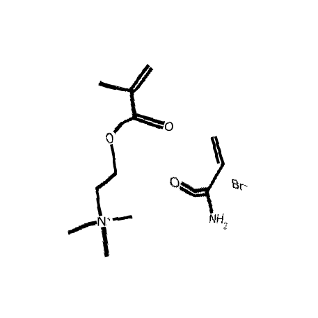 C=C(C)C(=O)OCC[N+](C)(C)C.C=CC(N)=O.[Br-]